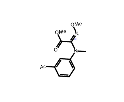 CO/N=C(\C(=O)OC)N(C)c1cccc(C(C)=O)c1